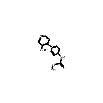 CC(C)(C)OC(=O)Nc1ccc(-c2ccncc2C=O)cc1